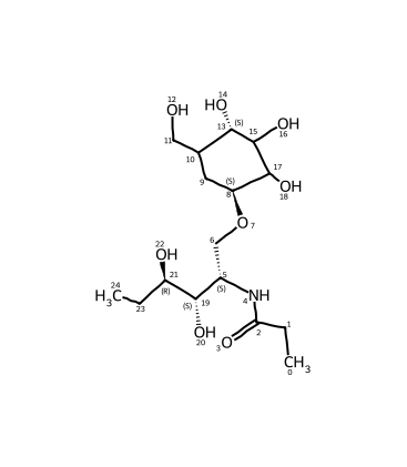 CCC(=O)N[C@@H](CO[C@H]1CC(CO)[C@H](O)C(O)C1O)[C@H](O)[C@H](O)CC